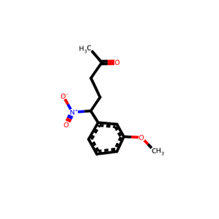 COc1cccc(C(CCC(C)=O)[N+](=O)[O-])c1